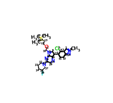 Cn1cc2c(Cl)c(-c3cn(COCCS(C)(C)C)c4nc(N5CCC[C@H](F)C5)cnc34)ccc2n1